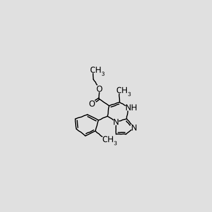 CCOC(=O)C1=C(C)Nc2nccn2C1c1ccccc1C